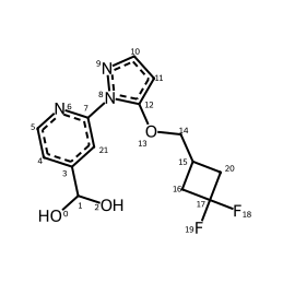 OC(O)c1ccnc(-n2nccc2OCC2CC(F)(F)C2)c1